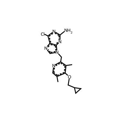 Cc1cnc(Cn2cnc3c(Cl)nc(N)nc32)c(C)c1OCC1CC1